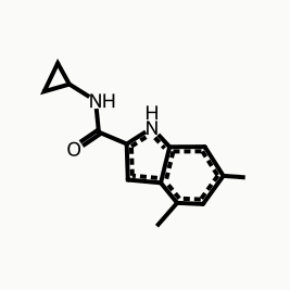 Cc1cc(C)c2cc(C(=O)NC3CC3)[nH]c2c1